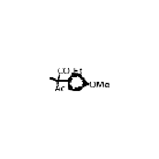 CCOC(=O)C(C)(C(C)=O)c1ccc(OC)cc1